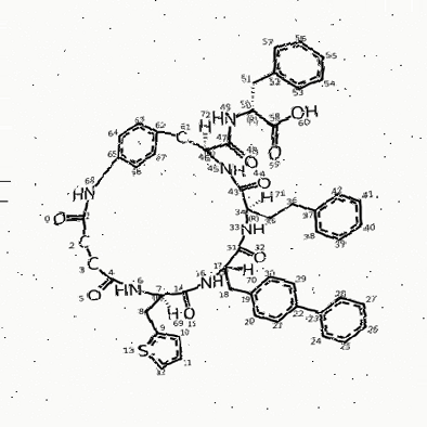 O=C1CCC(=O)N[C@H](Cc2cccs2)C(=O)N[C@@H](Cc2ccc(-c3ccccc3)cc2)C(=O)N[C@H](CCc2ccccc2)C(=O)N[C@H](C(=O)N[C@H](Cc2ccccc2)C(=O)O)Cc2ccc(cc2)N1